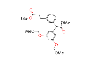 COCOc1cc(OCOC)cc(C(C(=O)OC)c2cccc(CCC(=O)OC(C)(C)C)c2)c1